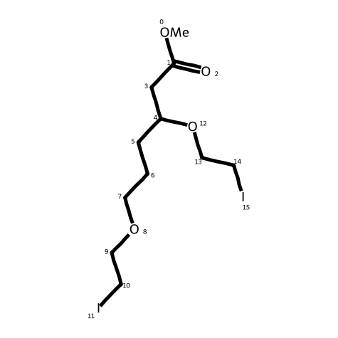 COC(=O)CC(CCCOCCI)OCCI